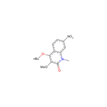 CCCCOc1c(OC)c(=O)n(C)c2cc([N+](=O)[O-])ccc12